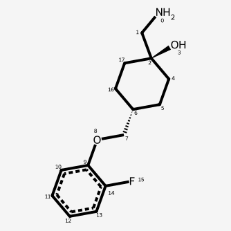 NC[C@]1(O)CC[C@H](COc2ccccc2F)CC1